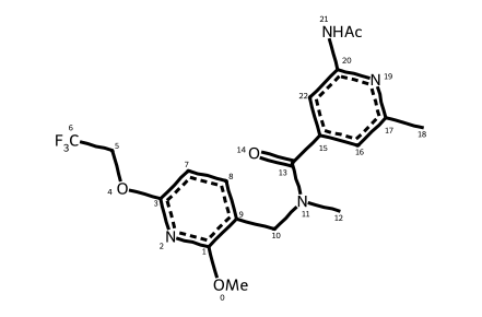 COc1nc(OCC(F)(F)F)ccc1CN(C)C(=O)c1cc(C)nc(NC(C)=O)c1